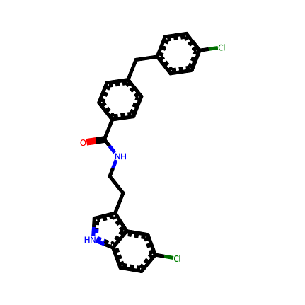 O=C(NCCc1c[nH]c2ccc(Cl)cc12)c1ccc(Cc2ccc(Cl)cc2)cc1